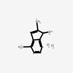 CC1=Cc2c(C)cccc2[CH]1[Zr+2].[Cl-].[Cl-]